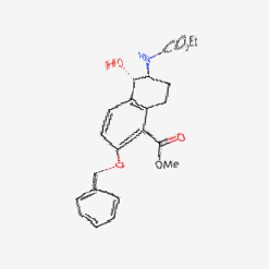 CCOC(=O)N[C@H]1CCc2c(ccc(OCc3ccccc3)c2C(=O)OC)[C@@H]1O